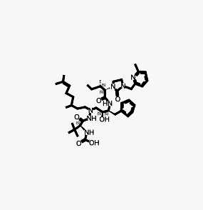 CC[C@H](C)[C@@H](C(=O)N[C@@H](Cc1ccccc1)[C@@H](O)CN(CCC(C)CCC=C(C)C)NC(=O)[C@@H](NC(=O)O)C(C)(C)C)N1CCN(Cc2cccc(C)n2)C1=O